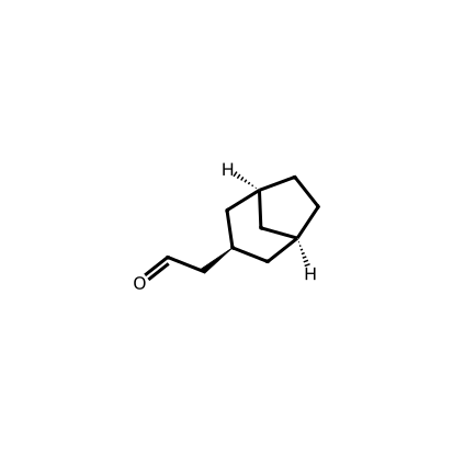 O=CC[C@H]1C[C@H]2CC[C@@H](C1)C2